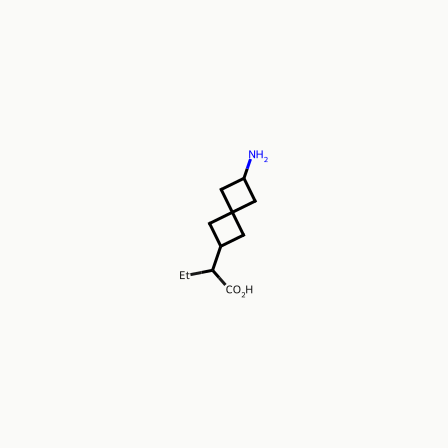 CCC(C(=O)O)C1CC2(CC(N)C2)C1